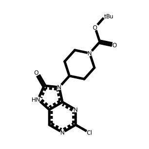 CC(C)(C)OC(=O)N1CCC(n2c(=O)[nH]c3cnc(Cl)nc32)CC1